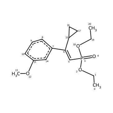 CCOP(=O)(/C=C(/c1cccc(OC)c1)C1CC1)OCC